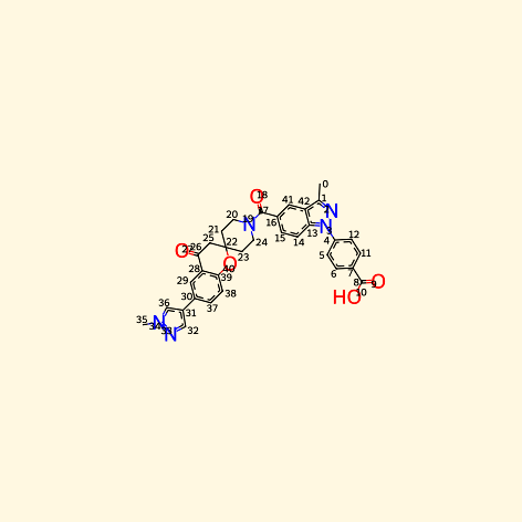 Cc1nn(-c2ccc(C(=O)O)cc2)c2ccc(C(=O)N3CCC4(CC3)CC(=O)c3cc(-c5cnn(C)c5)ccc3O4)cc12